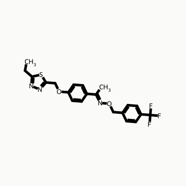 CCc1nnc(COc2ccc(/C(C)=N/OCc3ccc(C(F)(F)F)cc3)cc2)s1